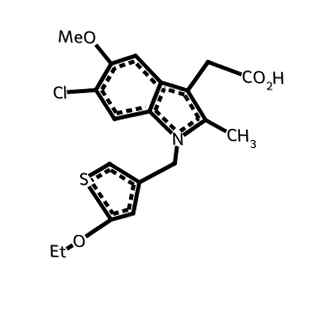 CCOc1cc(Cn2c(C)c(CC(=O)O)c3cc(OC)c(Cl)cc32)cs1